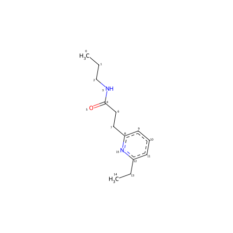 CCCNC(=O)CCc1cccc(CC)n1